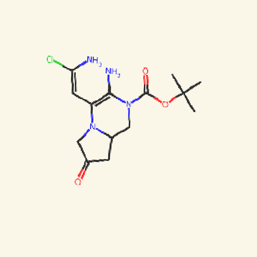 CC(C)(C)OC(=O)N1CC2CC(=O)CN2C(/C=C(\N)Cl)=C1N